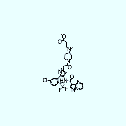 COC(=O)CCN(C)C1CCN(C(=O)Cn2cc(NC(=O)c3cnn4cccnc34)c(-c3cc(Cl)ccc3OC(F)F)n2)CC1